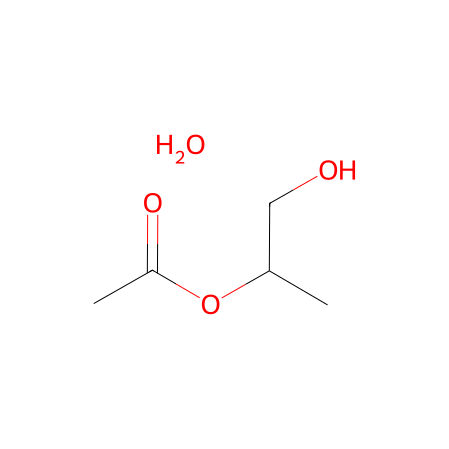 CC(=O)OC(C)CO.O